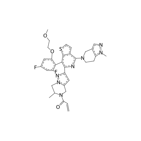 C=CC(=O)N1Cc2cc(-c3nc(N4CCc5c(cnn5C)C4)c4ccsc4c3-c3c(F)cc(F)cc3OCCOC)nn2CC1C